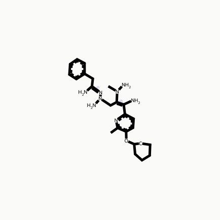 Cc1nc(/C(N)=C(\CN(N)/N=C(\N)Cc2ccccc2)N(C)N)ccc1OC1CCCCC1